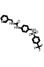 O=C(NCc1cccnc1)Nc1ccc(NS(=O)(=O)c2ccc(C(F)(F)F)cc2)cc1